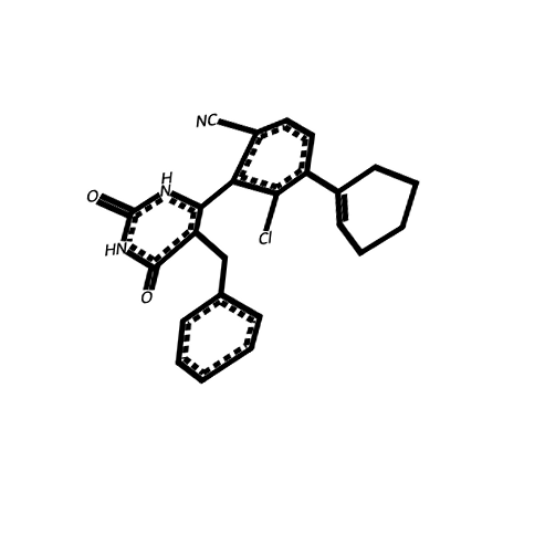 N#Cc1ccc(C2=CCCCC2)c(Cl)c1-c1[nH]c(=O)[nH]c(=O)c1Cc1ccccc1